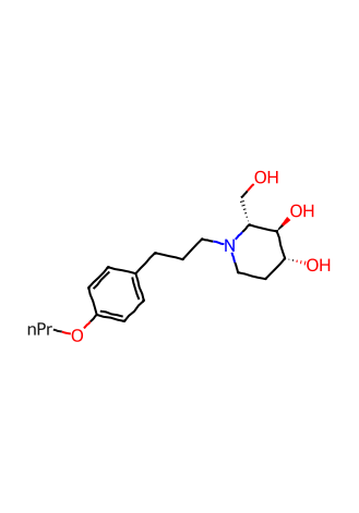 CCCOc1ccc(CCCN2CC[C@@H](O)[C@H](O)[C@H]2CO)cc1